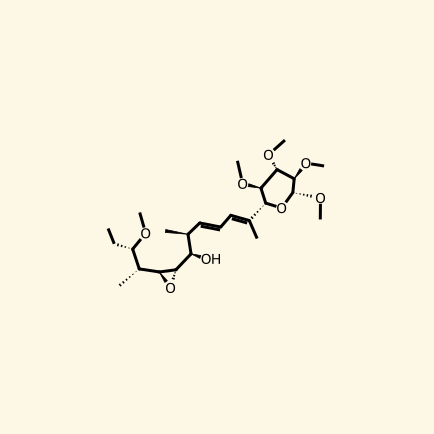 CC[C@H](OC)[C@@H](C)[C@@H]1O[C@H]1[C@H](O)[C@@H](C)/C=C/C=C(\C)[C@H]1O[C@@H](OC)[C@H](OC)[C@@H](OC)[C@@H]1OC